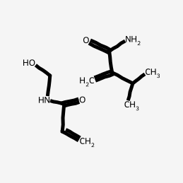 C=C(C(N)=O)C(C)C.C=CC(=O)NCO